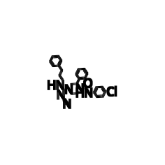 N#C/N=C(/NCCCc1ccccc1)N1CCN(C(=O)Nc2ccc(Cl)cc2)C(c2ccccc2)C1